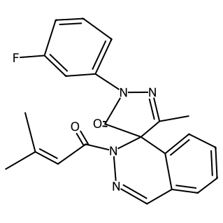 CC(C)=CC(=O)N1N=Cc2ccccc2C12C(=O)N(c1cccc(F)c1)N=C2C